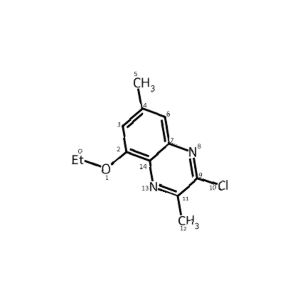 CCOc1cc(C)cc2nc(Cl)c(C)nc12